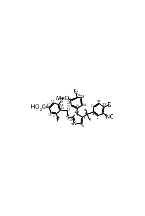 [C-]#[N+]c1cc(C(C)(C)c2cnc(SCc3c(F)cc(C(=O)O)cc3F)n2-c2ccc(F)c(OC)c2)ccc1F